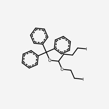 ICCCC(OCCI)OC(c1ccccc1)(c1ccccc1)c1ccccc1